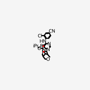 CC(C)OC(=O)N1CC2COCC(C1)C2Oc1ncnc(Nc2ccc(C#N)cc2Cl)c1F